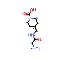 NCC(=O)NCC1CCN(C(=O)O)CC1